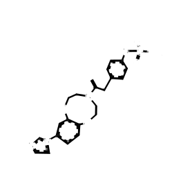 CS(=O)(=O)Nc1ccc(CC(=O)N2CCOc3ccc(-n4ccnc4)cc3OCC2)cc1